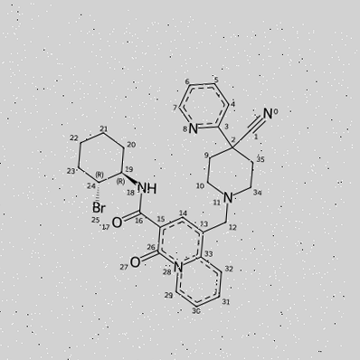 N#CC1(c2ccccn2)CCN(Cc2cc(C(=O)N[C@@H]3CCCC[C@H]3Br)c(=O)n3ccccc23)CC1